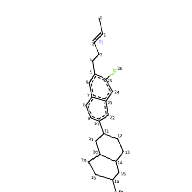 C/C=C/CCc1cc2ccc(C3CCC4CC(CCC)CCC4C3)cc2cc1F